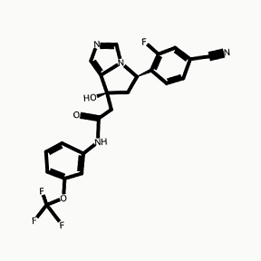 N#Cc1ccc([C@H]2C[C@](O)(CC(=O)Nc3cccc(OC(F)(F)F)c3)c3cncn32)c(F)c1